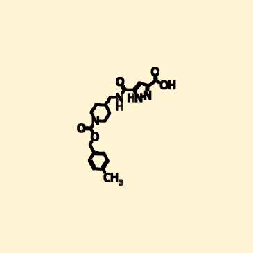 Cc1ccc(COC(=O)N2CCC(CNC(=O)c3cc(C(=O)O)n[nH]3)CC2)cc1